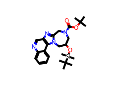 CC(C)(C)OC(=O)N1Cc2nc3cnc4ccccc4c3n2CC(O[Si](C)(C)C(C)(C)C)C1